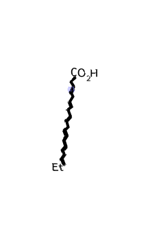 CCC=CCC=CCC=CCC=CCC=CC/C=C/CCC(=O)O